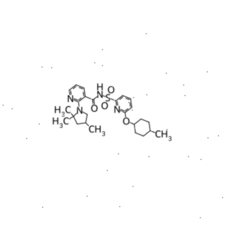 CC1CCC(Oc2cccc(S(=O)(=O)NC(=O)c3cccnc3N3CC(C)CC3(C)C)n2)CC1